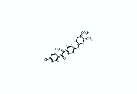 C[C@H]1CN(Cc2ccc(N(C)C(=O)c3ccc(Cl)nc3)nc2)CCN1C(=O)O